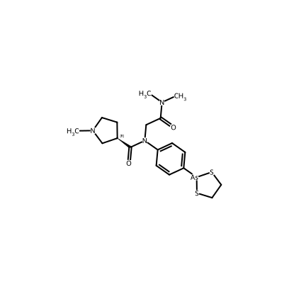 CN1CC[C@@H](C(=O)N(CC(=O)N(C)C)c2ccc([As]3SCCS3)cc2)C1